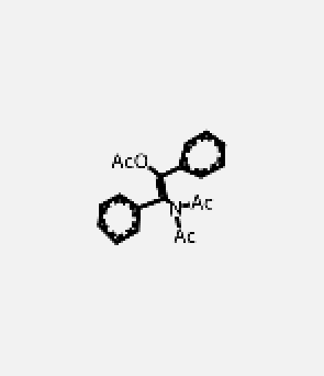 CC(=O)O/C(=C(\c1ccccc1)N(C(C)=O)C(C)=O)c1ccccc1